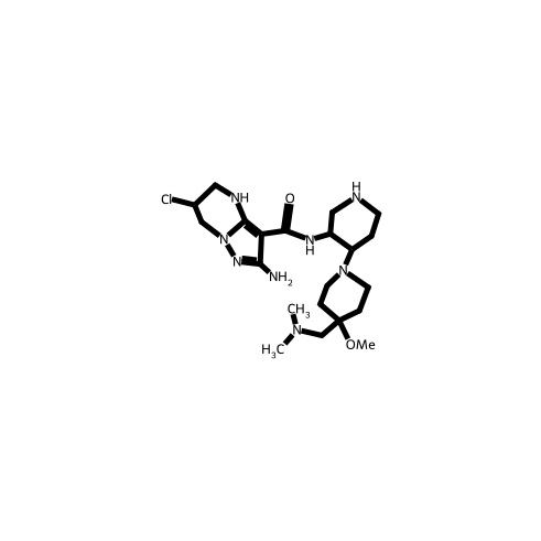 COC1(CN(C)C)CCN(C2CCNCC2NC(=O)c2c(N)nn3c2NCC(Cl)C3)CC1